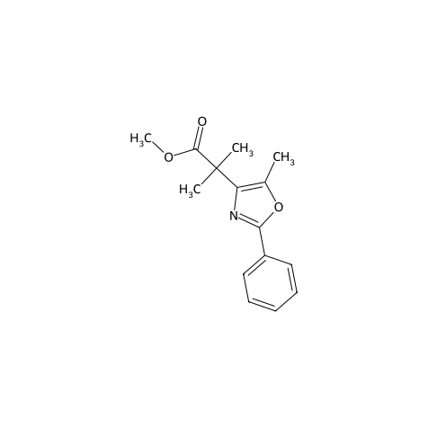 COC(=O)C(C)(C)c1nc(-c2ccccc2)oc1C